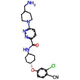 N#Cc1ccc(O[C@H]2CC[C@H](NC(=O)c3ccc(N4CCC(CN)CC4)nn3)CC2)cc1Cl